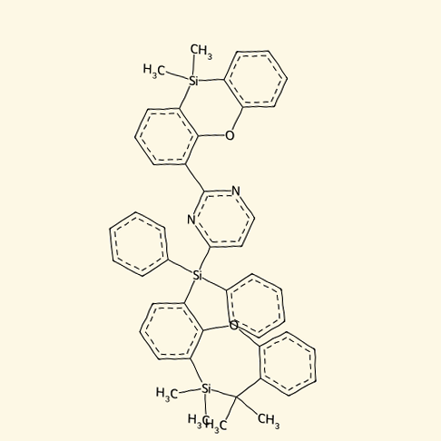 CC1(C)c2ccccc2Oc2c([Si](c3ccccc3)(c3ccccc3)c3ccnc(-c4cccc5c4Oc4ccccc4[Si]5(C)C)n3)cccc2[Si]1(C)C